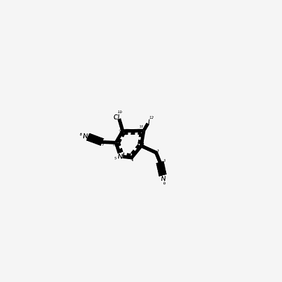 N#CCc1cnc(C#N)c(Cl)c1I